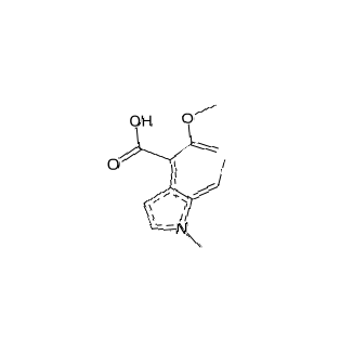 C=C(OC)/C(C(=O)O)=c1/ccn(C)/c1=C/C